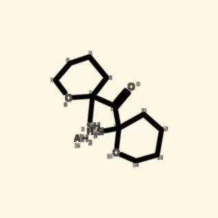 O=C(C1([SiH3])CCCCO1)C1([SiH3])CCCCO1.[AlH3]